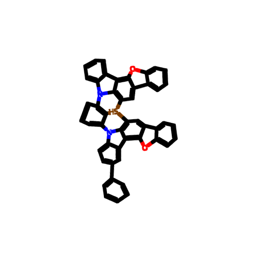 c1ccc(-c2ccc3c(c2)c2c4oc5ccccc5c4cc4c2n3-c2cccc3c2[SH]4c2cc4c5ccccc5oc4c4c5ccccc5n-3c24)cc1